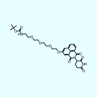 CC(C)(C)OC(=O)NCCOCCOCCOCCOc1cc2c3c(cccc3c1)C(=O)N(C1CCC(=O)NC1=O)C2=O